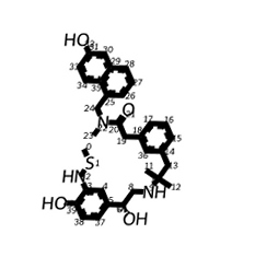 CSNc1cc([C@H](O)CNC(C)(C)Cc2cccc(CC(=O)N(C)Cc3cccc4cc(O)ccc34)c2)ccc1O